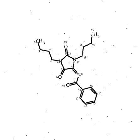 CCCCN1C(=O)C(=NC(=O)c2ccccc2)N(CCCC)C1=O